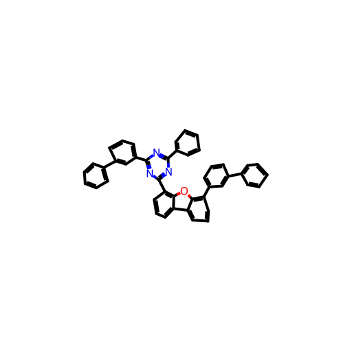 c1ccc(-c2cccc(-c3nc(-c4ccccc4)nc(-c4cccc5c4oc4c(-c6cccc(-c7ccccc7)c6)cccc45)n3)c2)cc1